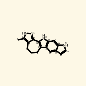 Cc1[nH]nc2c1CCCc1c-2[nH]c2cc3[nH]ccc3cc12